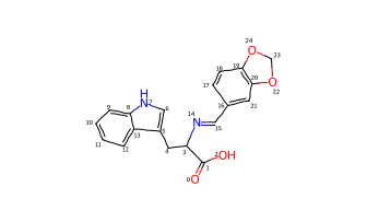 O=C(O)C(Cc1c[nH]c2ccccc12)N=Cc1ccc2c(c1)OCO2